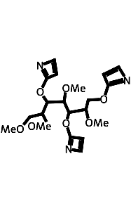 COCC(OC)C(OC1=NC=C1)C(OC)C(OC1=NC=C1)C(COC1=NC=C1)OC